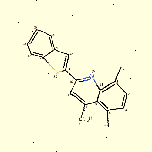 Cc1ccc(C)c2c(C(=O)O)cc(-c3cc4ccccc4s3)nc12